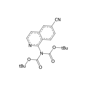 CC(C)(C)OC(=O)N(C(=O)OC(C)(C)C)c1nccc2cc(C#N)ccc12